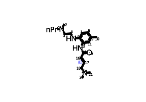 CCCN(C)CCNc1ccc(C)cc1NC(=O)/C=C/CN(C)C